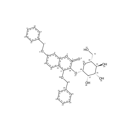 O=c1oc2cc(OCc3ccccc3)ccc2c(OCc2ccccc2)c1O[C@@H]1O[C@H](CO)[C@@H](O)[C@H](O)[C@@H]1O